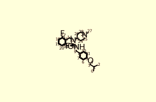 CC(C)COc1ccc(CNC(=O)N(Cc2c(F)cccc2F)C2CCN(C)CC2)cc1